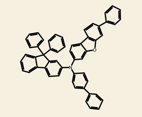 c1ccc(-c2ccc(N(c3ccc4c(c3)C(c3ccccc3)(c3ccccc3)c3ccccc3-4)c3ccc4c(c3)oc3cc(-c5ccccc5)ccc34)cc2)cc1